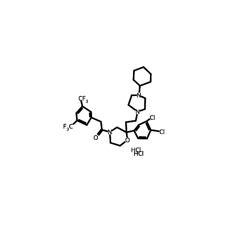 Cl.Cl.O=C(Cc1cc(C(F)(F)F)cc(C(F)(F)F)c1)N1CCOC(CCN2CCN(C3CCCCC3)CC2)(c2ccc(Cl)c(Cl)c2)C1